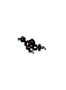 CS(=O)(=O)N1CCC(n2c(N)n[n+]3cc(-c4cn[nH]c4)ncc23)C(N2C3CCC2CC3)C1